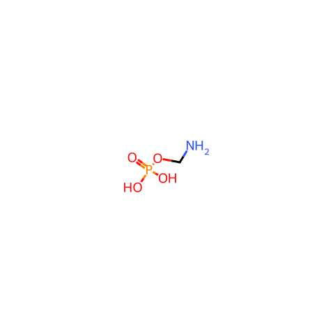 NCOP(=O)(O)O